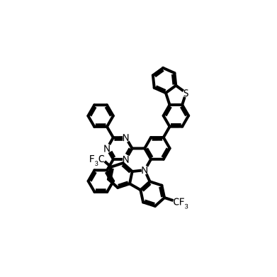 FC(F)(F)c1ccc2c3ccc(C(F)(F)F)cc3n(-c3ccc(-c4ccc5sc6ccccc6c5c4)cc3-c3nc(-c4ccccc4)nc(-c4ccccc4)n3)c2c1